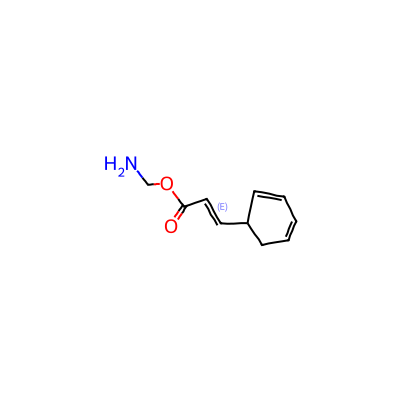 NCOC(=O)/C=C/C1C=CC=CC1